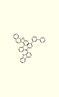 c1ccc(-c2cccc(-c3ccc(N(c4ccccc4-c4cccc5oc6c7ccccc7ccc6c45)c4cccc5c4sc4ccccc45)cc3)c2)cc1